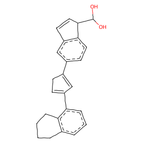 OC(O)C1C=Cc2cc(C3=CC(c4cccc5c4CCCC5)=CC3)ccc21